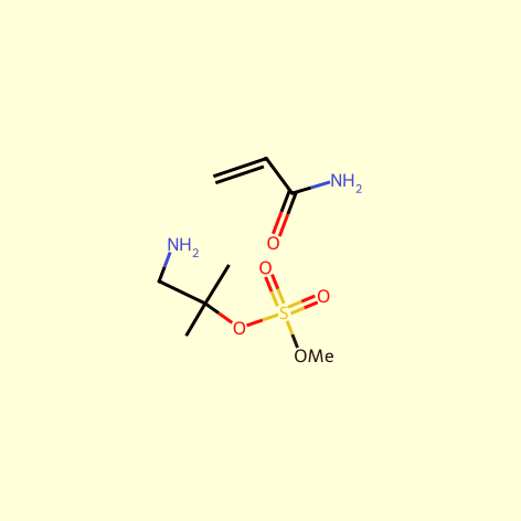 C=CC(N)=O.COS(=O)(=O)OC(C)(C)CN